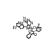 CCc1c[nH]c2cc(-c3nn(C(C)c4oc5ccccc5c(=O)c4-c4cccc(F)c4)c4ncnc(N)c34)ccc12